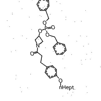 CCCCCCCOc1ccc(CCC(=O)N2CC(OP(=O)(OCc3ccccc3)OCc3ccccc3)C2)cc1